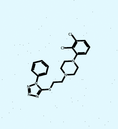 Clc1cccc(N2CCN(CCSc3nnnn3-c3ccccc3)CC2)c1Cl